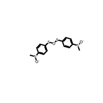 C[S+]([O-])c1ccc(SOSc2ccc([S+](C)[O-])cc2)cc1